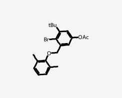 CC(=O)Oc1cc(COc2c(C)cccc2C)c(Br)c(C(C)(C)C)c1